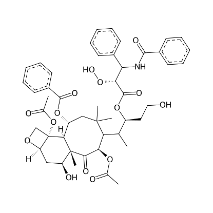 CC(=O)O[C@H]1C(=O)[C@@]2(C)[C@H]([C@H](OC(=O)c3ccccc3)CC(C)(C)C1C(C)[C@H](CCO)OC(=O)[C@H](OO)C(NC(=O)c1ccccc1)c1ccccc1)[C@]1(OC(C)=O)CO[C@@H]1C[C@@H]2O